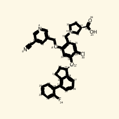 N#Cc1cncc(COc2cc(O[C@H]3CCc4c(-c5ccccc5F)cccc43)c(Cl)cc2CN2CC[C@@H](C(=O)O)C2)c1